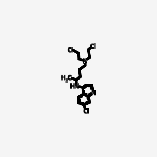 CC(CCCN(CCCl)CCCl)Nc1ccnc2cc(Cl)ccc12